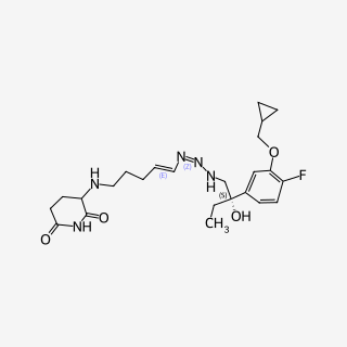 CC[C@@](O)(CN/N=N\C=C\CCCNC1CCC(=O)NC1=O)c1ccc(F)c(OCC2CC2)c1